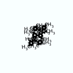 CCCC(C)c1cc(OC)cc(-c2cc(OC)cc(C)c2OP(Oc2ccc(C)cc2C)Oc2ccc(C)cc2C)c1OP(Oc1ccc(C)cc1C)Oc1ccc(C)cc1C